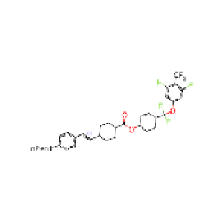 CCCCCc1ccc(/C=C/C2CCC(C(=O)OC3CCC(C(F)(F)Oc4cc(F)c(C(F)(F)F)c(F)c4)CC3)CC2)cc1